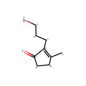 CC1=C(CCCBr)C(=O)CC1